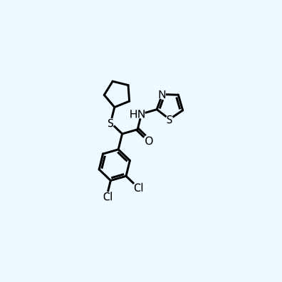 O=C(Nc1nccs1)C(SC1CCCC1)c1ccc(Cl)c(Cl)c1